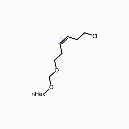 CCCCCCOCOCC/C=C\CCCl